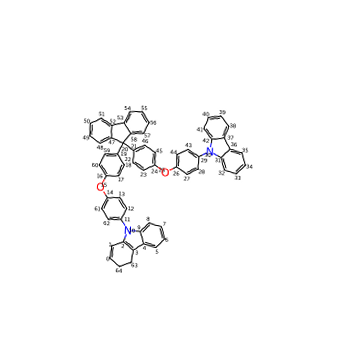 C1=Cc2c(c3ccccc3n2-c2ccc(Oc3ccc(C4(c5ccc(Oc6ccc(-n7c8ccccc8c8ccccc87)cc6)cc5)c5ccccc5-c5ccccc54)cc3)cc2)CC1